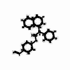 C=Cc1ccc(CNN(c2ccccc2)c2cccc3ccccc23)cc1